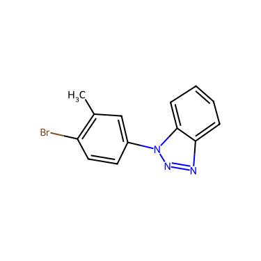 Cc1cc(-n2nnc3ccccc32)ccc1Br